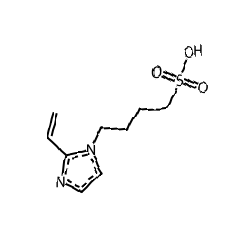 C=Cc1nccn1CCCCS(=O)(=O)O